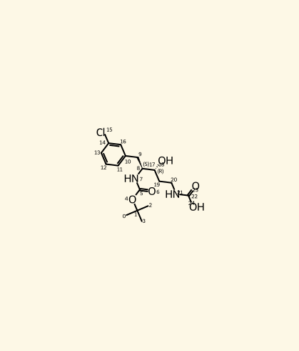 CC(C)(C)OC(=O)N[C@@H](Cc1cccc(Cl)c1)[C@H](O)CCNC(=O)O